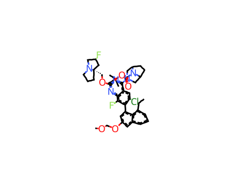 CCc1cccc2cc(OCOC)cc(-c3c(Cl)cc4c(N5CC6CCC(C5)N6C(=O)OC(C)(C)C)nc(OC[C@]56CCCN5C[C@H](F)C6)nc4c3F)c12